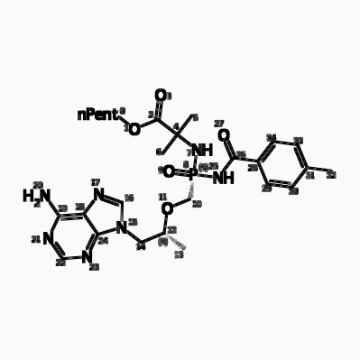 CCCCCOC(=O)C(C)(C)N[P@@](=O)(CO[C@H](C)Cn1cnc2c(N)ncnc21)NC(=O)c1ccc(C)cc1